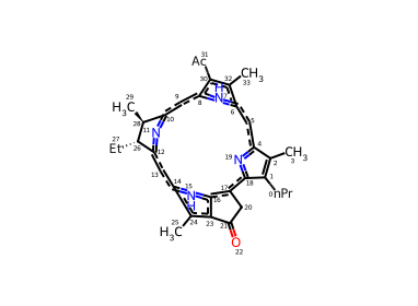 CCCC1=C(C)c2cc3[nH]c(cc4nc(cc5[nH]c6c(c1n2)CC(=O)c6c5C)[C@H](CC)[C@H]4C)c(C(C)=O)c3C